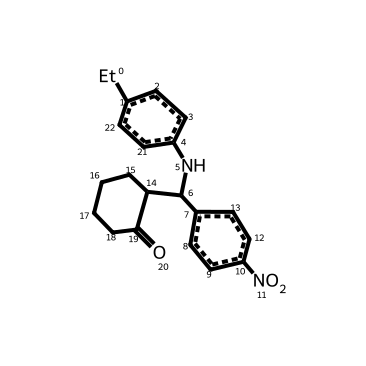 CCc1ccc(NC(c2ccc([N+](=O)[O-])cc2)C2CCCCC2=O)cc1